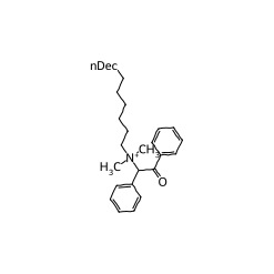 CCCCCCCCCCCCCCCC[N+](C)(C)C(C(=O)c1ccccc1)c1ccccc1